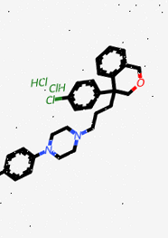 Cl.Cl.Fc1ccc(N2CCN(CCCC3(c4ccc(Cl)cc4)COCc4ccccc43)CC2)cc1